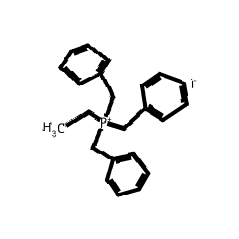 CC[P+](Cc1ccccc1)(Cc1ccccc1)Cc1ccccc1.[I-]